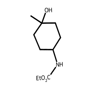 CCOC(=O)NC1CCC(C)(O)CC1